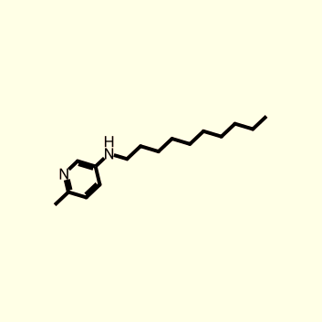 CCCCCCCCCCNc1ccc(C)nc1